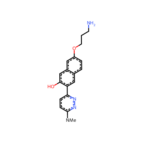 CNc1ccc(-c2cc3ccc(OCCCN)cc3cc2O)nn1